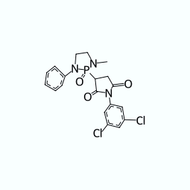 CN1CCN(c2ccccc2)P1(=O)C1CC(=O)N(c2cc(Cl)cc(Cl)c2)C1=O